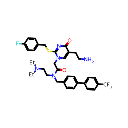 CCN(CC)CCN(Cc1ccc(-c2ccc(C(F)(F)F)cc2)cc1)C(=O)Cn1cc(CCN)c(=O)nc1SCc1ccc(F)cc1